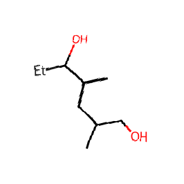 CCC(O)C(C)CC(C)CO